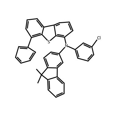 CC1(C)c2ccccc2-c2cc(N(c3cccc(Cl)c3)c3cccc4c3sc3c(-c5ccccc5)cccc34)ccc21